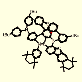 CC(C)(C)c1ccc(N(c2ccc(C(C)(C)C)cc2)c2ccc3c(c2)-c2c4c(cc5sc6ccccc6c25)N(c2ccc(C(C)(C)C)cc2-c2ccccc2)c2c(ccc5c2oc2cc6c(cc25)C(C)(C)CCC6(C)C)B4N3c2ccc3c(c2)C(C)(C)CCC3(C)C)cc1